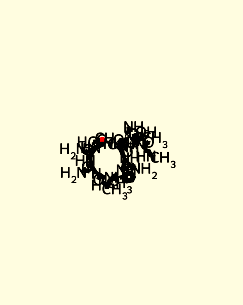 CNCCC(=O)N[C@H](C(=O)N[C@@H](CCN)C(=O)N[C@H]1CCNC(=O)[C@H](C(C)O)NC(=O)[C@H](CCN)NC(=O)[C@H](CCN)NC(=O)[C@H](CC(C)C)NC(=O)[C@@H](Cc2ccccc2)NC(=O)[C@H](CCN)NC1=O)C(C)O